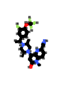 CC1CN(c2cc(=O)n(C)c3ccc(C#N)nc23)[C@@H](C)CN1C(C)c1ccc(OC(F)(F)F)c(F)c1